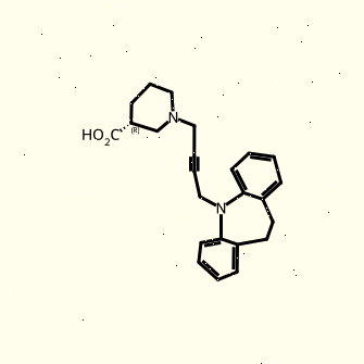 O=C(O)[C@@H]1CCCN(CC#CCN2c3ccccc3CCc3ccccc32)C1